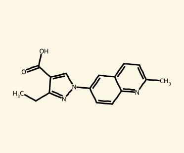 CCc1nn(-c2ccc3nc(C)ccc3c2)cc1C(=O)O